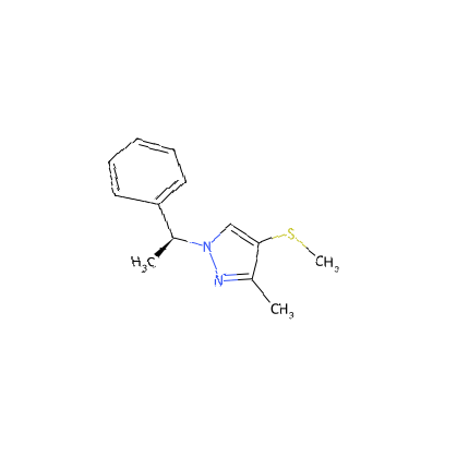 CSc1cn([C@@H](C)c2ccccc2)nc1C